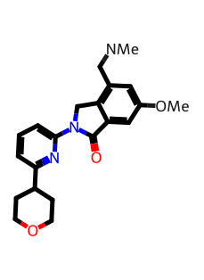 CNCc1cc(OC)cc2c1CN(c1cccc(C3CCOCC3)n1)C2=O